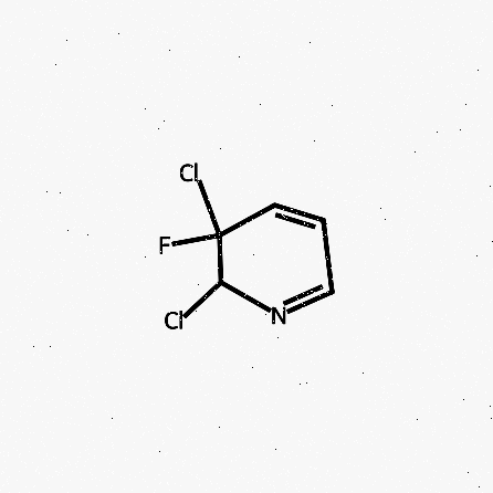 FC1(Cl)C=CC=NC1Cl